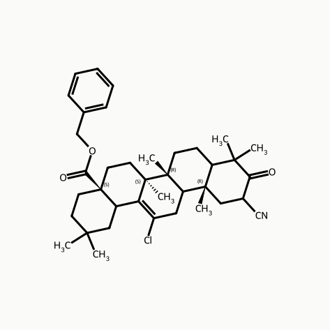 CC1(C)CC[C@]2(C(=O)OCc3ccccc3)CC[C@]3(C)C(=C(Cl)CC4[C@@]5(C)CC(C#N)C(=O)C(C)(C)C5CC[C@]43C)C2C1